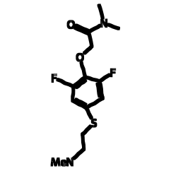 CNCCSc1cc(F)c(OCC(=O)N(C)C)c(F)c1